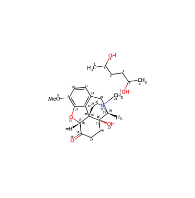 CC(O)CCC(C)O.COc1ccc2c3c1O[C@H]1C(=O)CC[C@@]4(O)[C@@H](C2)N(C)CC[C@]314